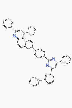 c1ccc(-c2cccc(-c3cc(-c4ccccc4)nc(-c4ccc(-c5ccc6c(ccc7nc(-c8ccccc8)cc(-c8ccccc8)c76)c5)cc4)n3)c2)cc1